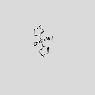 N=S(=O)(c1ccsc1)c1ccsc1